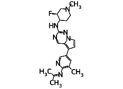 CC(C)=Nc1ncc(-c2ccn3nc(NC4CCN(C)C[C@@H]4F)ncc23)cc1C